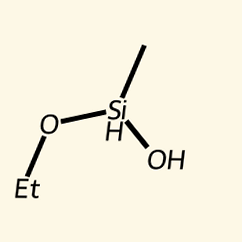 CCO[SiH](C)O